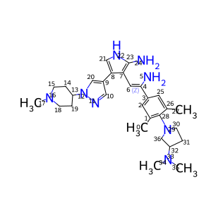 Cc1cc(/C(N)=C/c2c(-c3cnn(C4CCN(C)CC4)c3)c[nH]c2N)cc(C)c1N1CCC(N(C)C)C1